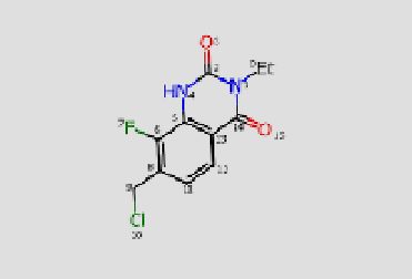 CCn1c(=O)[nH]c2c(F)c(CCl)ccc2c1=O